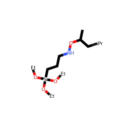 CCO[Si](CCCNOC(C)CC(C)C)(OCC)OCC